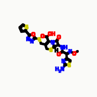 CON=C(C(=O)NC1C(=O)N2C(C(=O)O)=C(CSc3nnc(-c4cccs4)o3)CS[C@@H]12)c1csc(N)n1